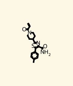 C=CC(=O)N1CCC(c2nc(C(N)=O)c(-c3ccc(C)cc3)s2)CC1